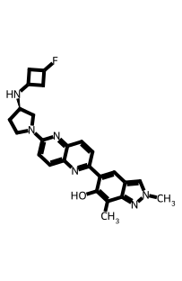 Cc1c(O)c(-c2ccc3nc(N4CC[C@@H](NC5CC(F)C5)C4)ccc3n2)cc2cn(C)nc12